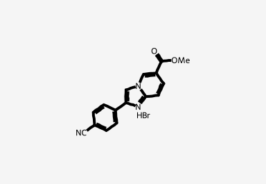 Br.COC(=O)c1ccc2nc(-c3ccc(C#N)cc3)cn2c1